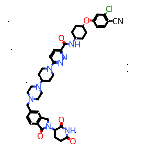 N#Cc1ccc(O[C@H]2CC[C@H](NC(=O)c3ccc(N4CCC(N5CCN(Cc6ccc7c(c6)CN(C6CCC(=O)NC6=O)C7=O)CC5)CC4)nn3)CC2)cc1Cl